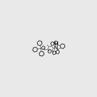 COC1OC(COC(c2ccccc2)(c2ccccc2)c2ccccc2)C(C)C(O)C1N1C(=O)c2ccccc2C1=O